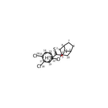 NC(=S)CN1C2CCC1CC(Oc1ccc(Cl)c(Cl)c1)C2